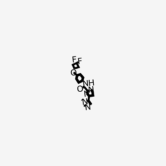 Cn1cncc1-c1ccnc(C(=O)Nc2ccc(OC3CC(F)(F)C3)cc2)n1